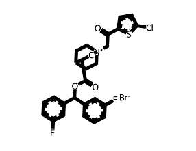 O=C(C[N+]12CCC(CC1)C(C(=O)OC(c1cccc(F)c1)c1cccc(F)c1)C2)c1ccc(Cl)s1.[Br-]